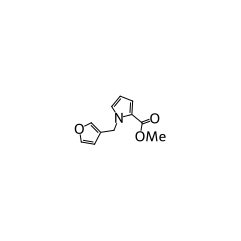 COC(=O)c1cccn1Cc1ccoc1